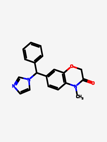 CN1C(=O)COc2cc(C(c3ccccc3)n3ccnc3)ccc21